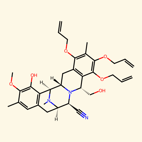 C=CCOc1c(C)c(OCC=C)c(OCC=C)c2c1C[C@H]1[C@@H]3c4c(cc(C)c(OC)c4O)C[C@H]([C@H](C#N)N1[C@H]2CO)N3C